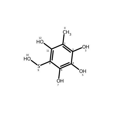 Cc1c(O)c(O)c(O)c(SO)c1O